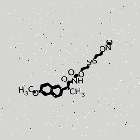 COc1ccc2cc(C(C)C(=O)NC(=O)OCCSSCCON=O)ccc2c1